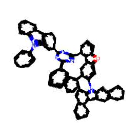 c1ccc(-c2nc(-c3ccc4c5ccccc5n(-c5ccccc5)c4c3)nc(-c3cccc4oc5cc(-n6c7cc8ccccc8cc7c7c8ccccc8ccc76)c(-c6ccccc6)cc5c34)n2)cc1